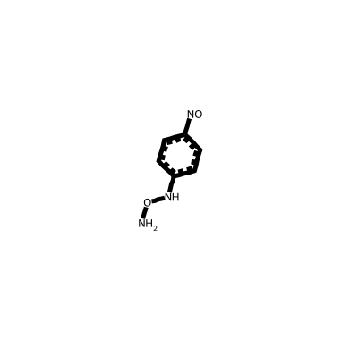 NONc1ccc(N=O)cc1